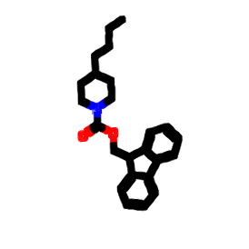 CCCCC1CCN(C(=O)OCC2c3ccccc3-c3ccccc32)CC1